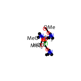 COC(=O)CCCCCOc1cc2c(cc1N(C)S(=O)(=O)c1ccc(Cl)cc1)nc(-c1ccccc1)n2-c1ccc(OC)cc1.COC(=O)CCCCCOc1ccc2nc(-c3ccccc3)n(-c3ccc4c(c3)CCC4)c2c1.O=C(O)CCCCCOc1ccc2nc(-c3ccccc3)n(-c3ccc4c(c3)CCC4)c2c1